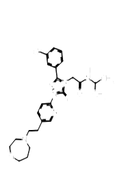 CC(C)NC(=O)Cn1c(-c2cccc(Cl)c2)nn(-c2ccc(CCN3CCCOCC3)cn2)c1=O